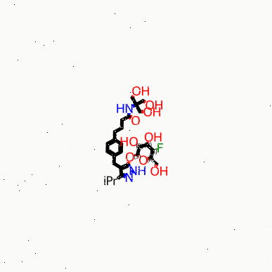 CC(C)c1n[nH]c(O[C@@H]2O[C@H](CO)[C@@H](F)[C@H](O)[C@H]2O)c1Cc1ccc(CCCC(=O)NC(CO)(CO)CO)cc1